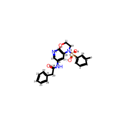 Cc1cccc(S(=O)(=O)N2CCOc3ncc(NC(=O)Cc4ccccc4)cc32)c1